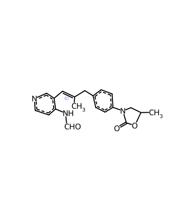 C/C(=C\c1cnccc1NC=O)Cc1ccc(N2CC(C)OC2=O)cc1